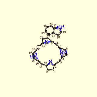 C1=Cc2cc3ccc(cc4nc(cc5ccc(cc1n2)[nH]5)C=C4)[nH]3.c1ccc2[nH]ccc2c1